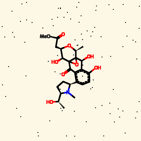 COC(=O)C[C@H]1O[C@H](C)C23OC2(C(=O)c2c([C@H]4CC[C@H]([C@H](C)O)N4C)ccc(O)c2[C@@H]3O)[C@H]1O